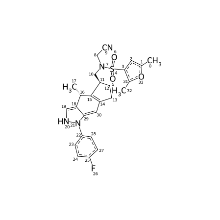 Cc1cc(S(=O)(=O)N(CC#N)C[C@H]2CCC3=C2[C@@H](C)C2=CNN(c4ccc(F)cc4)C2=C3)c(C)o1